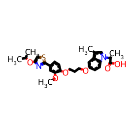 COc1cc(-c2nc(OC(C)C)cs2)ccc1OCCCOc1ccc2c(c1)c(C)cn2C(C)C(=O)O